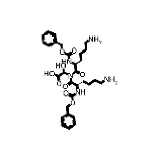 NCCCC[C@H](NC(=O)OCc1ccccc1)C(=O)N(C(=O)[C@H](CCCCN)NC(=O)OCc1ccccc1)C(O)C(=O)O